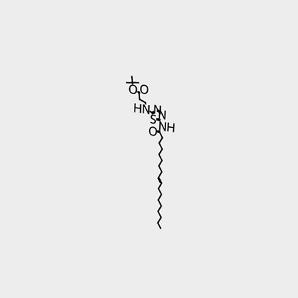 CCCCCCCCC=CCCCCCCCC(=O)Nc1nnc(NCCC(=O)OC(C)(C)C)s1